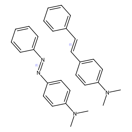 CN(C)c1ccc(/C=C/c2ccccc2)cc1.CN(C)c1ccc(/N=N/c2ccccc2)cc1